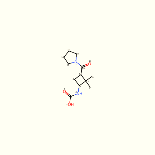 CC1(C)[C@@H](NC(=O)O)C[C@H]1C(=O)N1CCCC1